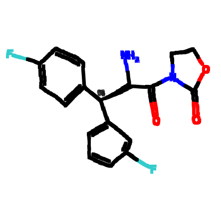 NC(C(=O)N1CCOC1=O)[C@H](c1ccc(F)cc1)c1cccc(F)c1